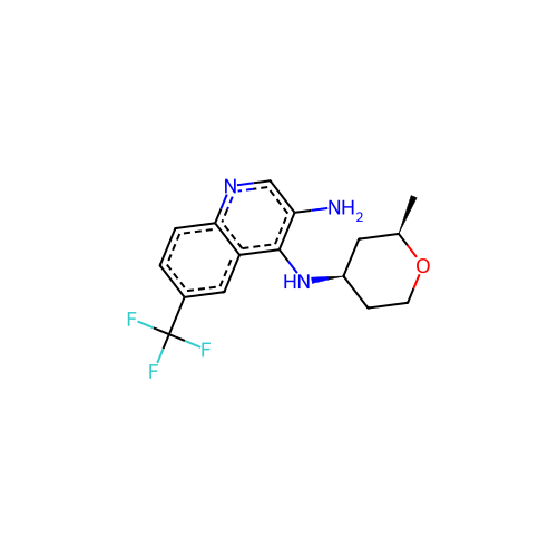 C[C@@H]1C[C@H](Nc2c(N)cnc3ccc(C(F)(F)F)cc23)CCO1